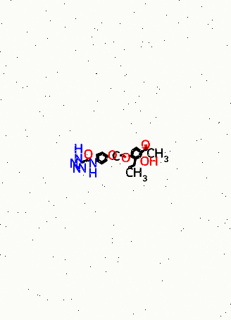 CCCc1c(OCCOc2ccc(NC(=O)c3nnn[nH]3)cc2)ccc(C(C)=O)c1O